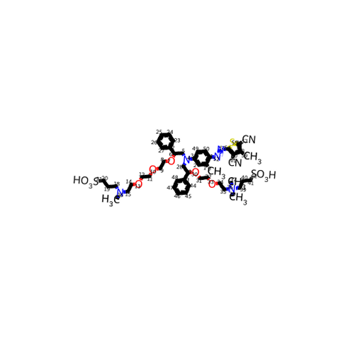 Cc1cc(N(CC(OCCOCCOCCN(C)CCCS(=O)(=O)O)c2ccccc2)CC(OCCOCC[N+](C)(C)CCCS(=O)(=O)O)c2ccccc2)ccc1/N=N/c1sc(C#N)c(C)c1C#N